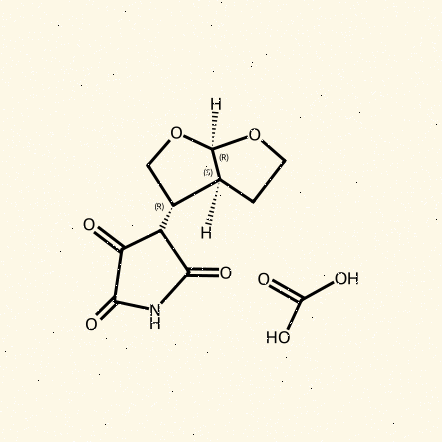 O=C(O)O.O=C1NC(=O)C([C@@H]2CO[C@H]3OCC[C@H]32)C1=O